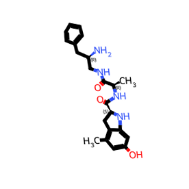 Cc1cc(O)cc2c1C[C@@H](C(=O)N[C@H](C)C(=O)NC[C@H](N)Cc1ccccc1)N2